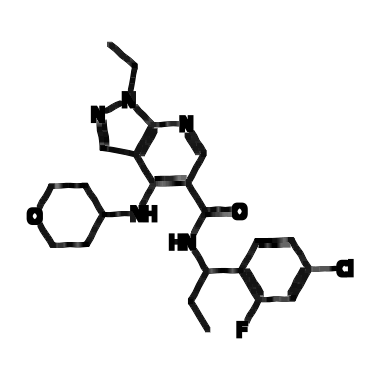 CCC(NC(=O)c1cnc2c(cnn2CC)c1NC1CCOCC1)c1ccc(Cl)cc1F